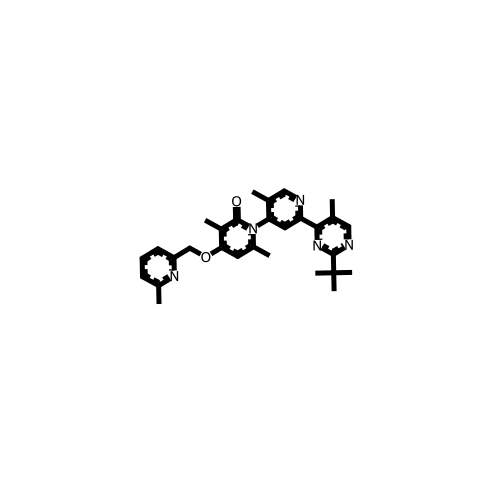 Cc1cccc(COc2cc(C)n(-c3cc(-c4nc(C(C)(C)C)ncc4C)ncc3C)c(=O)c2C)n1